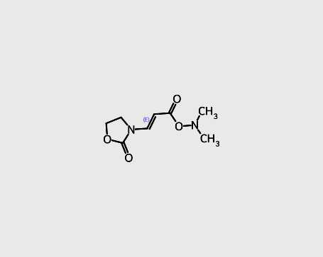 CN(C)OC(=O)/C=C/N1CCOC1=O